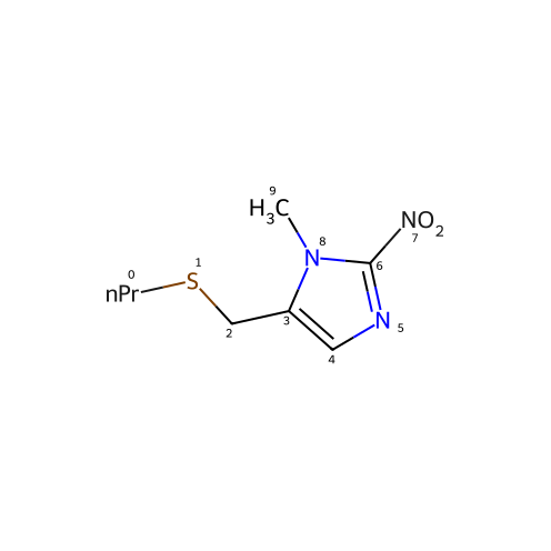 CCCSCc1cnc([N+](=O)[O-])n1C